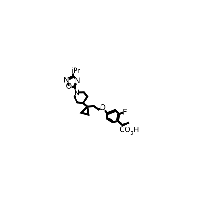 CC(C)c1noc(N2CCC(C3(CCOc4ccc([C@@H](C)C(=O)O)c(F)c4)CC3)CC2)n1